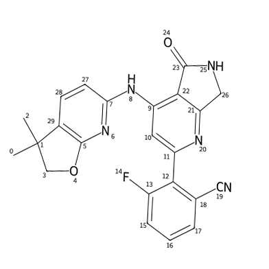 CC1(C)COc2nc(Nc3cc(-c4c(F)cccc4C#N)nc4c3C(=O)NC4)ccc21